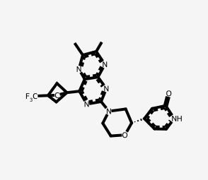 Cc1nc2nc(N3CCO[C@@H](c4cc[nH]c(=O)c4)C3)nc(C34CC(C(F)(F)F)(C3)C4)c2nc1C